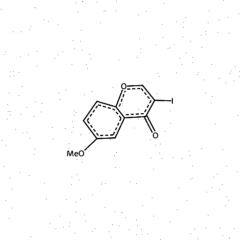 COc1ccc2occ(I)c(=O)c2c1